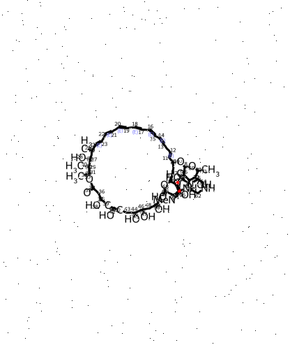 CNCC(=O)NC1[C@H](O)C(O[C@H]2/C=C/C=C/C=C/C=C/C=C/C=C/C=C/[C@H](C)[C@@H](O)[C@@H](C)[C@H](C)OC(=O)C[C@H](O)C[C@H](O)CC[C@@H](O)[C@H](O)C[C@H](O)C[C@]3(O)C[C@H](O)[C@@H](C(=O)N4CCNCC4)[C@H](C2)O3)O[C@@H](C)[C@H]1O